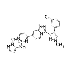 Cn1cc(-c2cccc(Cl)c2)c(-c2nnc3cc(-c4ccnc(Nc5ccnn5C)n4)ccn23)n1